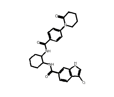 O=C(NC1CCCCC1NC(=O)c1ccc2c(Cl)c[nH]c2c1)c1ccc(N2CCCCC2=O)cc1